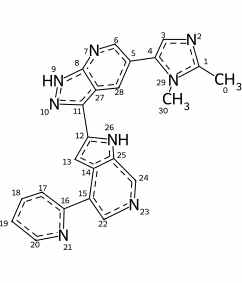 Cc1ncc(-c2cnc3[nH]nc(-c4cc5c(-c6ccccn6)cncc5[nH]4)c3c2)n1C